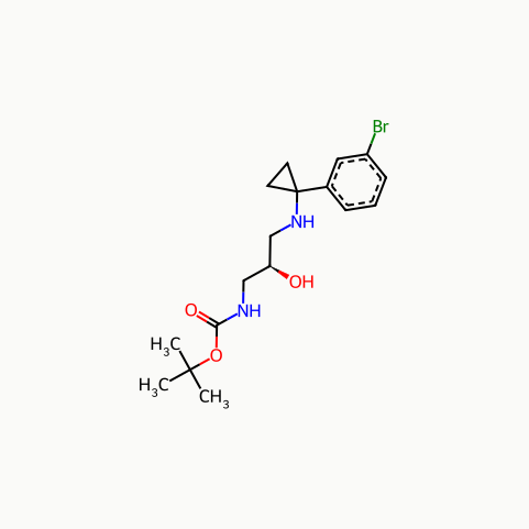 CC(C)(C)OC(=O)NC[C@H](O)CNC1(c2cccc(Br)c2)CC1